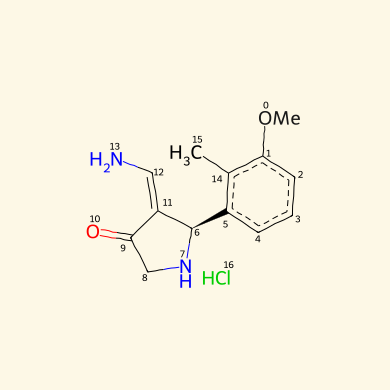 COc1cccc([C@H]2NCC(=O)/C2=C\N)c1C.Cl